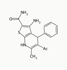 CC(=O)C1=C(C)Nc2sc(C(N)=O)c(N)c2C1c1ccccc1